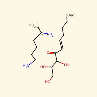 CCCCCCCCCCCCCC=CC(=O)C(O)C(O)CO.NCCCC[C@H](N)C(=O)O